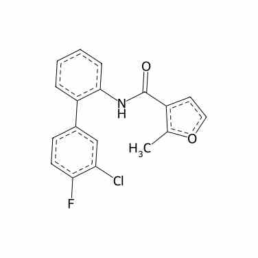 Cc1occc1C(=O)Nc1ccccc1-c1ccc(F)c(Cl)c1